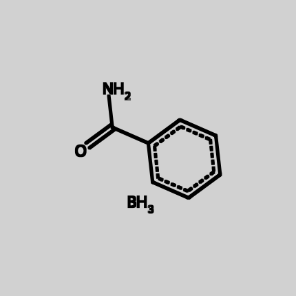 B.NC(=O)c1ccccc1